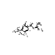 CCCS(=O)(=O)c1cc(C)c(C(=O)N=C(N)N)cc1C(F)(F)F